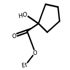 CCOC(=O)C1(O)CCCC1